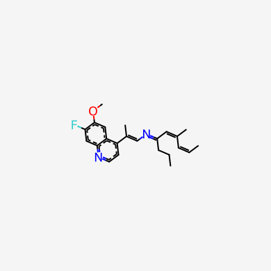 C\C=C/C(C)=C\C(CCC)=N\C=C(/C)c1ccnc2cc(F)c(OC)cc12